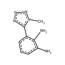 Cn1nnnc1-c1cccc(N)c1N